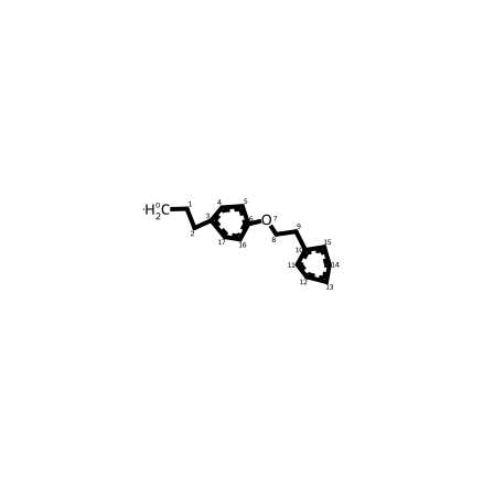 [CH2]CCc1ccc(OCCc2ccccc2)cc1